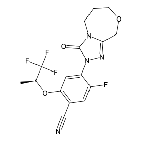 C[C@H](Oc1cc(-n2nc3n(c2=O)CCCOC3)c(F)cc1C#N)C(F)(F)F